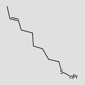 CC=CCCCCCCSCCC